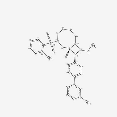 Cc1cccc(-c2ccc([C@@H]3C(CN)N4CCCCN(S(=O)(=O)c5ccccc5C)C[C@@H]34)cc2)c1